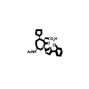 CC(=O)N[C@@H]1CC[C@H](C2CCCC2)[C@H](CC(=O)O)C(=O)N(c2nc(-c3ccccc3Cl)cs2)C1